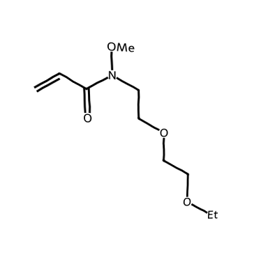 C=CC(=O)N(CCOCCOCC)OC